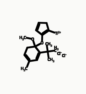 COC1(OC2=[C]([Ti+2])CC=C2)CC=C(C)C=C1C(C)(C)C.[Cl-].[Cl-]